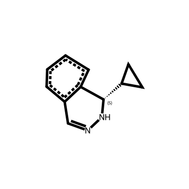 C1=NN[C@@H](C2CC2)c2ccccc21